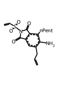 C=CCc1cc2c(c(CCCCC)c1N)C(=O)N(S(=O)(=O)C=C)C2=O